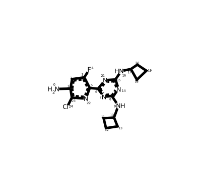 Nc1cc(F)c(-c2nc(NC3CCC3)nc(NC3CCC3)n2)nc1Cl